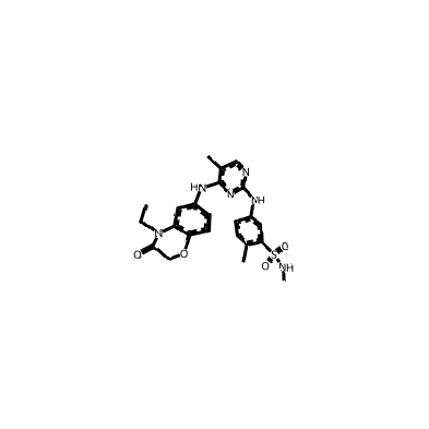 CCN1C(=O)COc2ccc(Nc3nc(Nc4ccc(C)c(S(=O)(=O)NC)c4)ncc3C)cc21